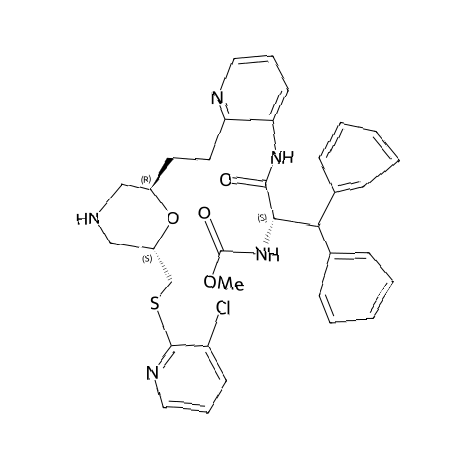 COC(=O)N[C@H](C(=O)Nc1cccnc1CC[C@@H]1CNC[C@@H](CSc2ncccc2Cl)O1)C(c1ccccc1)c1ccccc1